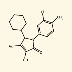 CC(=O)C1=C(O)C(=O)N(c2ccc(C)c(Cl)c2)C1C1CCCCC1